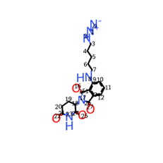 [N-]=[N+]=NCCCCCNc1cccc2c1C(=O)N(C1CCC(=O)NC1=O)C2=O